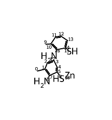 Cc1cccc(S)c1N.Cc1cccc(S)c1N.[Zn]